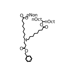 CCCCCCCCCOC(=O)CCCCCCCN(CCCCCCCC(=O)OC(CCCCCCCC)CCCCCCCC)CCC(=O)OCc1ccccc1